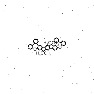 CC1(C)c2cc3c(cc2-c2cc4c(cc21)-c1ccc2c(c1C4(C)C)-c1ccccc1-c1ccccc1O2)-c1ccccc1-c1ccccc1O3